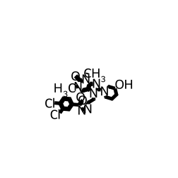 Cn1c(=O)c2c(nc(N3CCCC(O)C3)n2Cc2nnc(-c3ccc(Cl)c(Cl)c3)o2)n(C)c1=O